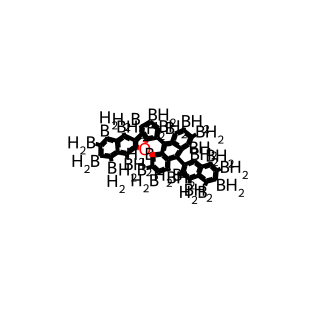 Bc1c(B)c(B)c2c(oc3c(B)c4c(B)c(B)c(B)c(B)c4c(B)c32)c1-c1c2c(B)c(B)c(B)c(B)c2c(-c2c(B)c(B)c3c(B)c(B)c(B)c(B)c3c2B)c2c(B)c(B)c(B)c(B)c12